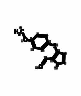 COc1ccc(Sc2ccsc2C=O)cc1